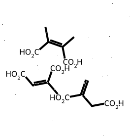 C/C(=C/C(=O)O)C(=O)O.C/C(C(=O)O)=C(\C)C(=O)O.C=C(CC(=O)O)C(=O)O